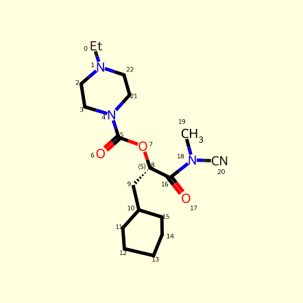 CCN1CCN(C(=O)O[C@@H](CC2CCCCC2)C(=O)N(C)C#N)CC1